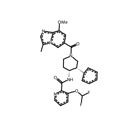 COc1cc(C(=O)N2CC[C@@H](NC(=O)c3ncccc3OC(F)F)[C@@H](c3ccccc3)C2)cn2c(C)cnc12